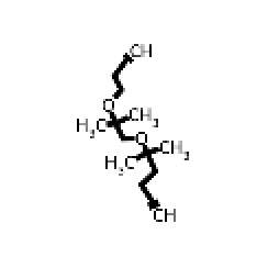 C#CCCOC(C)(C)COC(C)(C)CCC#C